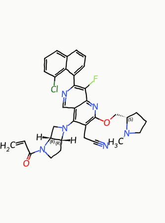 C=CC(=O)N1CC[C@@H]2[C@H]1CN2c1c(CC#N)c(OC[C@@H]2CCCN2C)nc2c(F)c(-c3cccc4cccc(Cl)c34)ncc12